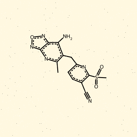 Cc1nc2nonc2c(N)c1Cc1ccc(C#N)c(S(C)(=O)=O)n1